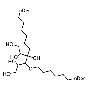 CCCCCCCCCCCCCCCCOC(C(O)CO)C(O)(CCCCCCCCCCCCCCCC)C(O)CO